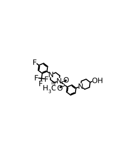 C[C@@H]1CN(c2ccc(F)cc2C(F)(F)F)CCN1S(=O)(=O)c1cccc(N2CCC(O)CC2)c1